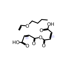 C=COCCCC.O=C(O)/C=C\C(=O)OC(=O)/C=C\C(=O)O